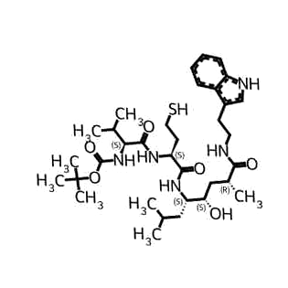 CC(C)C[C@H](NC(=O)[C@H](CCS)NC(=O)[C@@H](NC(=O)OC(C)(C)C)C(C)C)[C@@H](O)C[C@@H](C)C(=O)NCCc1c[nH]c2ccccc12